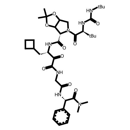 CN(C)C(=O)[C@@H](NC(=O)CNC(=O)C(=O)[C@H](CC1CCC1)NC(=O)[C@@H]1C2OC(C)(C)OC2CN1C(=O)[C@@H](NC(=O)NC(C)(C)C)C(C)(C)C)c1ccccc1